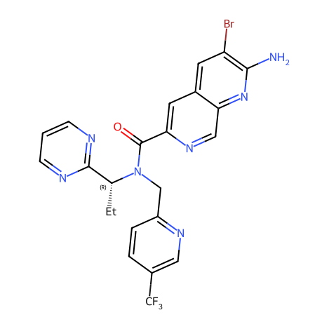 CC[C@H](c1ncccn1)N(Cc1ccc(C(F)(F)F)cn1)C(=O)c1cc2cc(Br)c(N)nc2cn1